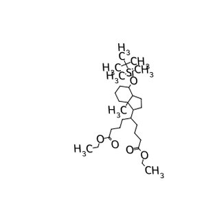 CCOC(=O)CCCC(CCCC(=O)OCC)C1CCC2C(O[Si](C)(C)C(C)(C)C)CCCC12C